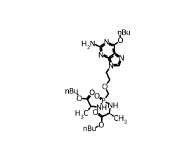 CCCCOC(=O)[C@H](C)NP(=O)(COCCn1cnc2c(OCCCC)nc(N)nc21)N[C@@H](C)C(=O)OCCCC